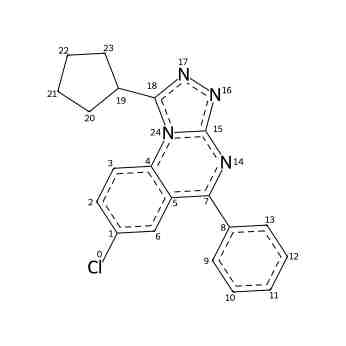 Clc1ccc2c(c1)c(-c1ccccc1)nc1nnc(C3CCCC3)n12